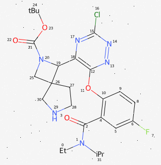 CCN(C(=O)c1cc(F)ccc1Oc1nnc(Cl)nc1C1N(C(=O)OC(C)(C)C)CC12CCNC2)C(C)C